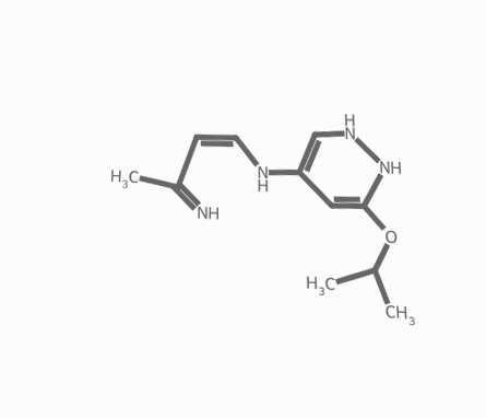 CC(=N)/C=C\NC1=CNNC(OC(C)C)=C1